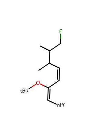 CCC/C=C(\C=C/C(C)C(C)CF)OC(C)(C)C